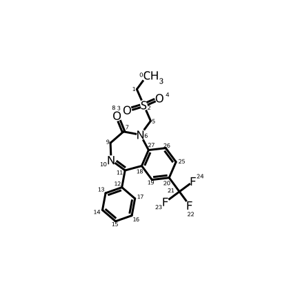 CCS(=O)(=O)CN1C(=O)CN=C(c2ccccc2)c2cc(C(F)(F)F)ccc21